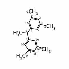 Cc1cc(C)cc(C(C)c2cc(C)cc(C)c2)c1